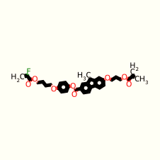 C=C(C)C(=O)OCCCOc1ccc2c(c1)C(C)c1cc(C(=O)Oc3ccc(OCCCCOC(=O)C(=C)F)cc3)ccc1-2